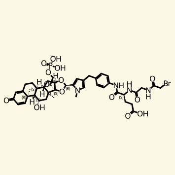 Cn1cc(Cc2ccc(NC(=O)[C@H](CCC(=O)O)NC(=O)CNC(=O)CBr)cc2)cc1[C@@H]1O[C@@H]2C[C@H]3[C@@H]4CCC5=CC(=O)C=C[C@]5(C)[C@H]4[C@@H](O)C[C@]3(C)[C@]2(C(=O)COP(=O)(O)O)O1